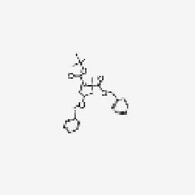 CC(C)(C)OC(=O)N1C[C@H](OCc2ccccc2)CC1(C)C(=O)OCc1ccccc1